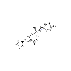 O=C(/C=C/c1ccc(F)cc1)N1CCC(=O)N(CCN2CCCC2)CC1